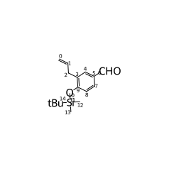 C=CCc1cc(C=O)ccc1O[Si](C)(C)C(C)(C)C